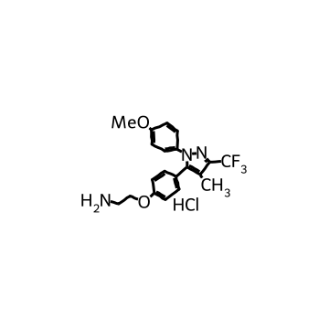 COc1ccc(-n2nc(C(F)(F)F)c(C)c2-c2ccc(OCCN)cc2)cc1.Cl